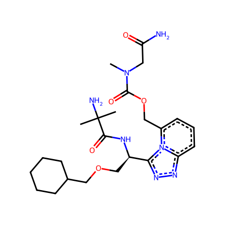 CN(CC(N)=O)C(=O)OCc1cccc2nnc([C@@H](COCC3CCCCC3)NC(=O)C(C)(C)N)n12